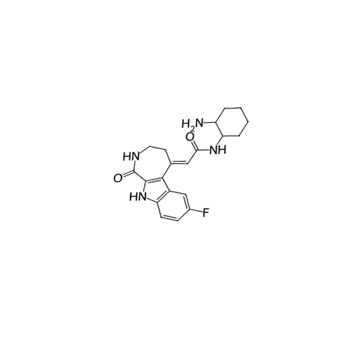 NC1CCCCC1NC(=O)C=C1CCNC(=O)c2[nH]c3ccc(F)cc3c21